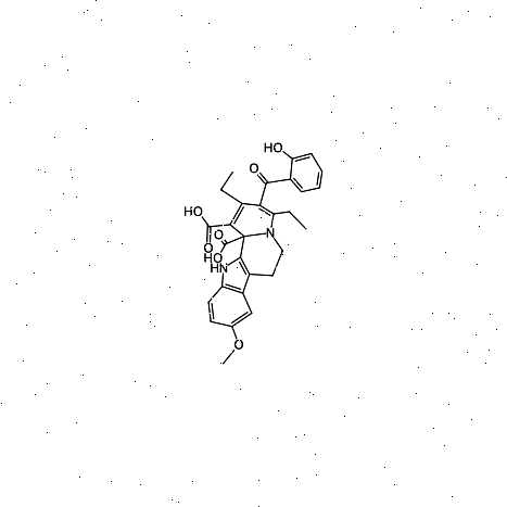 CCC1=C(C(=O)O)C2(C(=O)O)c3[nH]c4ccc(OC)cc4c3CCN2C(CC)=C1C(=O)c1ccccc1O